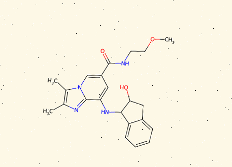 COCCNC(=O)c1cc(NC2c3ccccc3CC2O)c2nc(C)c(C)n2c1